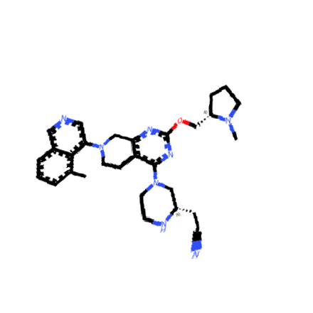 Cc1cccc2cncc(N3CCc4c(nc(OC[C@@H]5CCCN5C)nc4N4CCN[C@@H](CC#N)C4)C3)c12